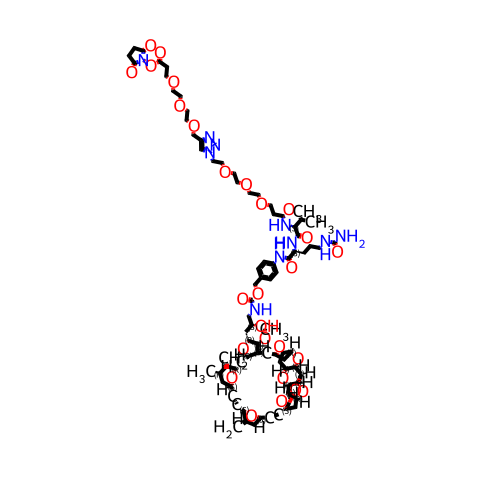 C=C1C[C@@H]2CC[C@@]34C[C@H]5O[C@H]6[C@@H](O3)[C@H]3O[C@H](CC[C@@H]3O[C@H]6[C@H]5O4)CC(=O)C[C@@H]3[C@@H](OC)[C@@H](C[C@H](O)CNC(=O)OCc4ccc(NC(=O)[C@H](CCCNC(N)=O)NC(=O)[C@@H](NC(=O)CCOCCOCCOCCn5cc(COCCOCCOCCC(=O)ON6C(=O)CCC6=O)nn5)C(C)C)cc4)O[C@H]3C[C@H]3O[C@@H](CC[C@@H]1O2)C[C@@H](C)C3=C